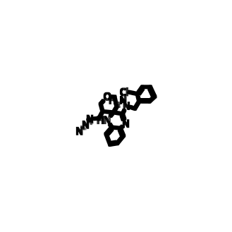 [N-]=[N+]=NCC1COCCC12Nc1ccccc1N=C2N(N)Cc1ccccc1Cl